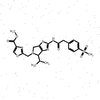 COC(=O)c1coc(CN2Cc3sc(NC(=O)Cc4ccc(S(C)(=O)=O)cc4)nc3C2C(C)C)n1